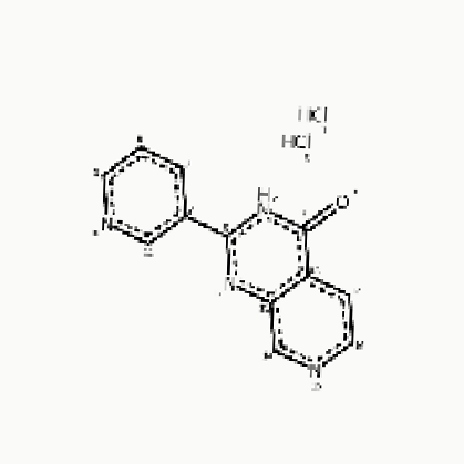 Cl.Cl.O=c1[nH]c(-c2cccnc2)nc2cnccc12